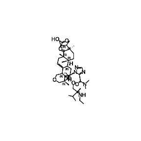 CCN[C@@](C)(CO[C@H]1[C@H](n2ncnc2C(=O)N(C)C)C[C@@]23COC[C@]1(C)[C@@H]2CC[C@H]1C3=CC[C@]2(C)[C@H](OC(=O)O)[C@@](C)([C@H](C)C(C)C)CC[C@]12C)C(C)C